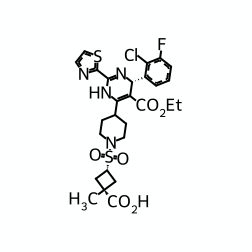 CCOC(=O)C1=C(C2CCN(S(=O)(=O)[C@H]3C[C@](C)(C(=O)O)C3)CC2)NC(c2nccs2)=N[C@@H]1c1cccc(F)c1Cl